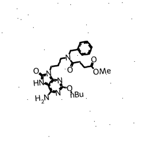 CCCCOc1nc(N)c2[nH]c(=O)n(CCCN(Cc3ccccc3)C(=O)CCC(=O)OC)c2n1